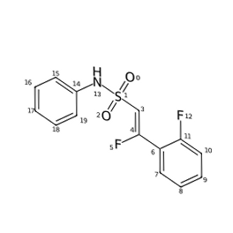 O=S(=O)(C=C(F)c1ccccc1F)Nc1ccccc1